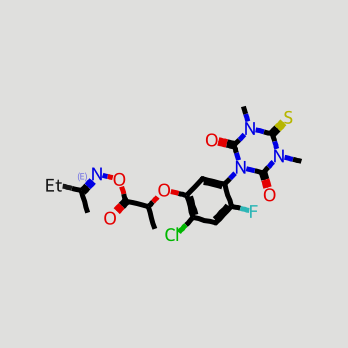 CC/C(C)=N/OC(=O)C(C)Oc1cc(-n2c(=O)n(C)c(=S)n(C)c2=O)c(F)cc1Cl